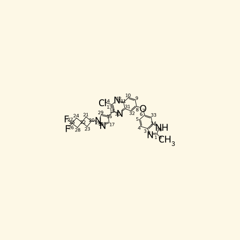 Cc1nc2ccc(Oc3ccc4nc(Cl)c(-c5cnn(C6CC7(C6)CC(F)(F)C7)c5)nc4c3)cc2[nH]1